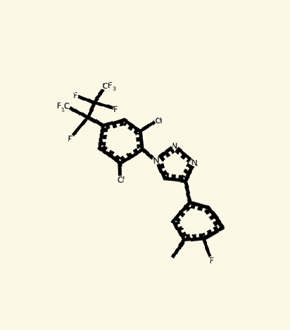 Cc1cc(-c2cn(-c3c(Cl)cc(C(F)(C(F)(F)F)C(F)(F)C(F)(F)F)cc3Cl)nn2)ccc1F